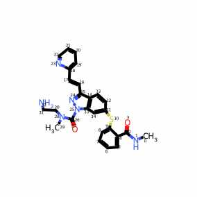 CNC(=O)c1ccccc1Sc1ccc2c(/C=C/c3ccccn3)nn(C(=O)N(C)CCN)c2c1